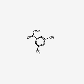 COC(=O)c1cc(O)nc(C(F)(F)F)c1